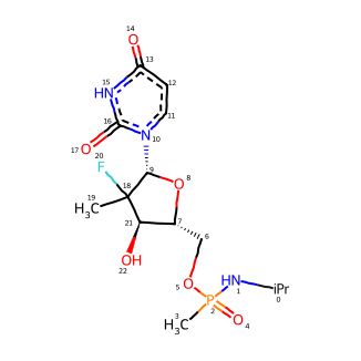 CC(C)NP(C)(=O)OC[C@H]1O[C@@H](n2ccc(=O)[nH]c2=O)C(C)(F)[C@@H]1O